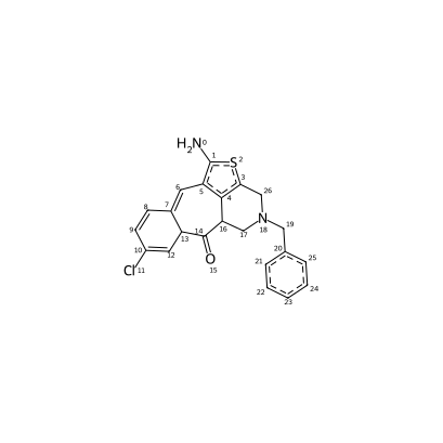 Nc1sc2c3c1C=C1C=CC(Cl)=CC1C(=O)C3CN(Cc1ccccc1)C2